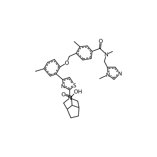 Cc1ccc(OCc2ccc(C(=O)N(C)Cc3cncn3C)cc2C)c(-c2csc(N3CC4CCC(C3)C4C(=O)O)n2)c1